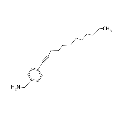 CCCCCCCCCCC#Cc1ccc(CN)cc1